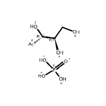 CC(=O)[C@H](O)[C@H](O)CO.O=P(O)(O)O